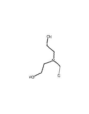 OCCN(CCl)CCO